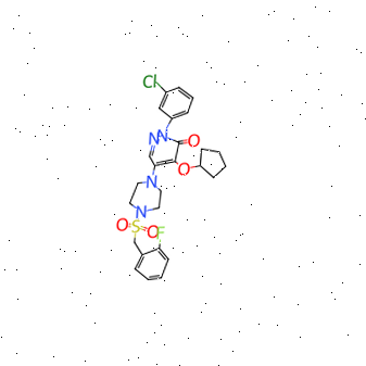 O=c1c(OC2CCCC2)c(N2CCN(S(=O)(=O)Cc3ccccc3F)CC2)cnn1-c1cccc(Cl)c1